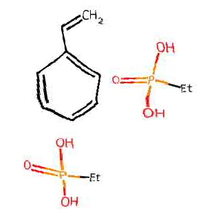 C=Cc1ccccc1.CCP(=O)(O)O.CCP(=O)(O)O